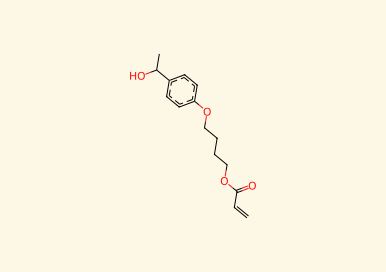 C=CC(=O)OCCCCOc1ccc(C(C)O)cc1